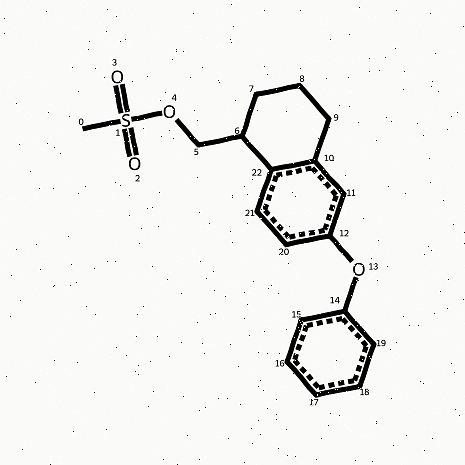 CS(=O)(=O)OCC1CCCc2cc(Oc3ccccc3)ccc21